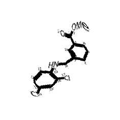 COC(=O)c1cccc(CNc2ccc(Cl)cc2Cl)c1